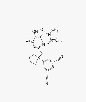 C[C@H]1Cn2c(CC3(c4cc(C#N)cc(C#N)c4)CCCC3)nc(=O)c(O)c2C(=O)N1C